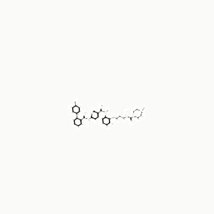 Cc1ccc(-c2ccccc2C(=O)Nc2ccc(C(=O)N(C)c3ccccc3OCCCNC(=O)N3CCN(C)CC3)cn2)cc1